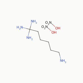 NCCCCCC(N)(N)N.O=[N+]([O-])O.O=[N+]([O-])O